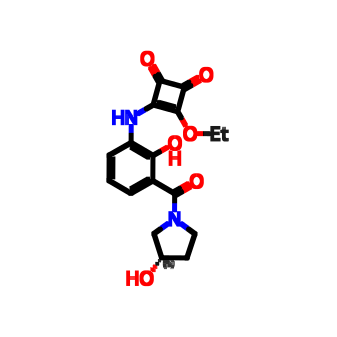 CCOc1c(Nc2cccc(C(=O)N3CC[C@H](O)C3)c2O)c(=O)c1=O